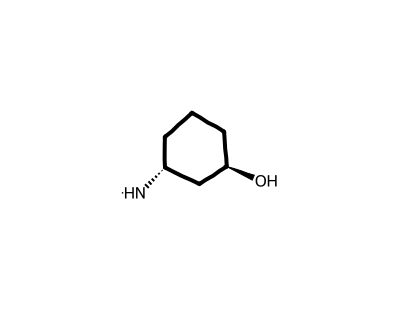 [NH][C@@H]1CCC[C@@H](O)C1